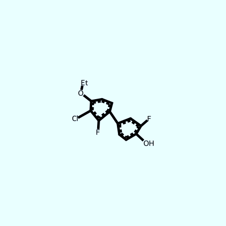 CCOc1ccc(-c2ccc(O)c(F)c2)c(F)c1Cl